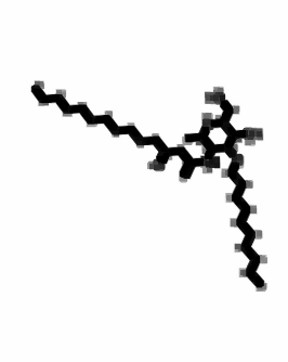 C=C(CC(=O)CCCCCCCCCCC)NC1C(C)OC(CO)C(O)C1OCCCCCCCCCC